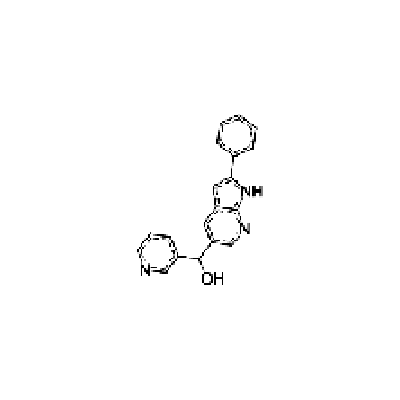 OC(c1cccnc1)c1cnc2[nH]c(-c3ccccc3)cc2c1